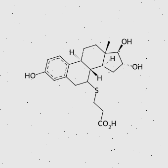 C[C@]12CC[C@@H]3c4ccc(O)cc4CC(SCCC(=O)O)[C@H]3[C@@H]1C[C@@H](O)[C@@H]2O